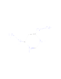 NNC1CC(NN)NCN1